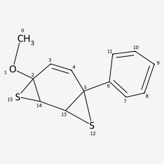 COC12C=CC3(c4ccccc4)SC3C1S2